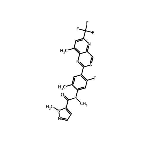 Cc1cc(-c2ncc3nc(C(F)(F)F)cc(C)c3n2)c(F)cc1N(C)C(=O)c1ccnn1C